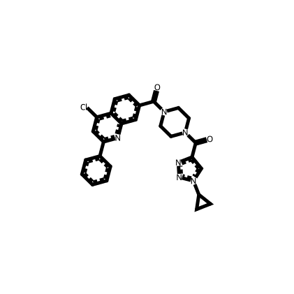 O=C(c1ccc2c(Cl)cc(-c3ccccc3)nc2c1)N1CCN(C(=O)c2cn(C3CC3)nn2)CC1